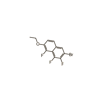 CCOc1ccc2cc(Br)c(F)c(F)c2c1F